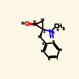 CN[C@@]1(Cc2ccccc2)CC1=O